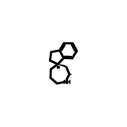 [CH]1C[C@]2(CCCN1)CCc1ccccc12